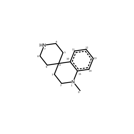 CN1CCC2(CCNCC2)c2ccccc21